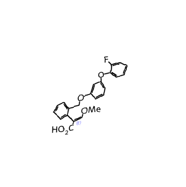 CO/C=C(/C(=O)O)c1ccccc1COc1cccc(Oc2ccccc2F)c1